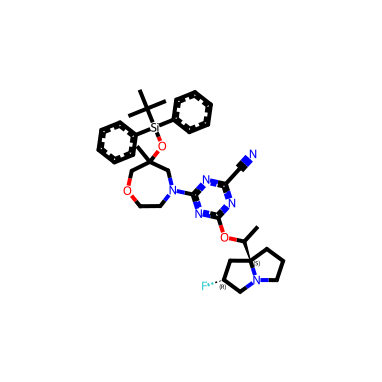 CC(Oc1nc(C#N)nc(N2CCOCC(C)(O[Si](c3ccccc3)(c3ccccc3)C(C)(C)C)C2)n1)[C@@]12CCCN1C[C@H](F)C2